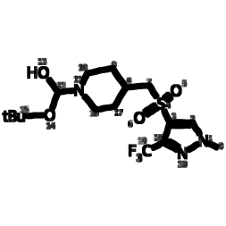 Cn1cc(S(=O)(=O)CC2CCN(C(O)OC(C)(C)C)CC2)c(C(F)(F)F)n1